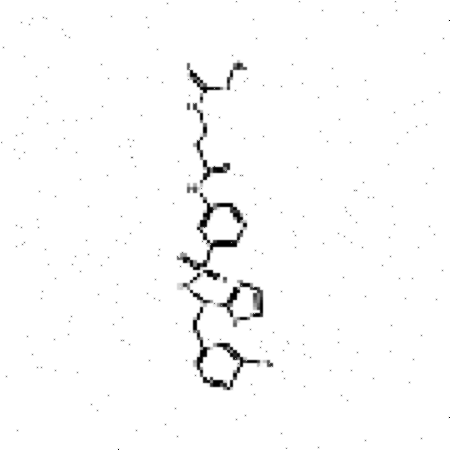 CC(C)(C)OC(=O)NCCC(=O)Nc1cccc(S(=O)(=O)NC(Cc2cccc(C#N)c2)c2nccs2)c1